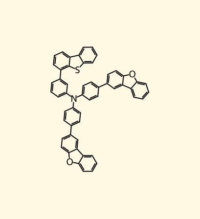 c1cc(-c2cccc3c2sc2ccccc23)cc(N(c2ccc(-c3ccc4oc5ccccc5c4c3)cc2)c2ccc(-c3ccc4oc5ccccc5c4c3)cc2)c1